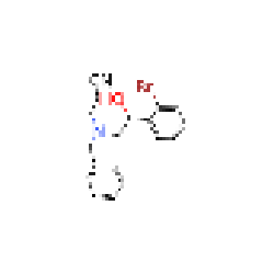 N#CCCN(Cc1ccccc1)CC(O)c1ccccc1Br